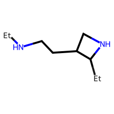 CCNCCC1CNC1CC